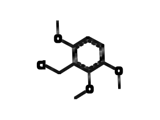 COc1ccc(OC)c(OC)c1CCl